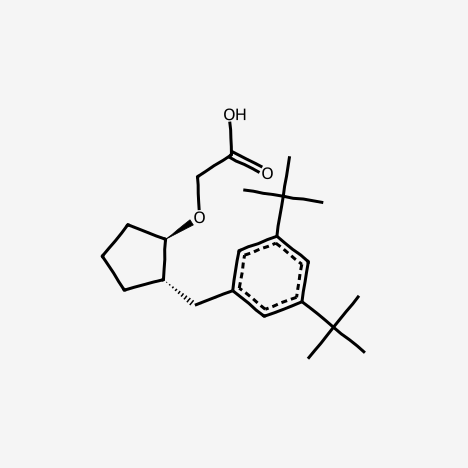 CC(C)(C)c1cc(C[C@@H]2CCC[C@H]2OCC(=O)O)cc(C(C)(C)C)c1